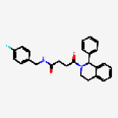 O=C(CCC(=O)N1CCc2ccccc2C1c1ccccc1)NCc1ccc(F)cc1